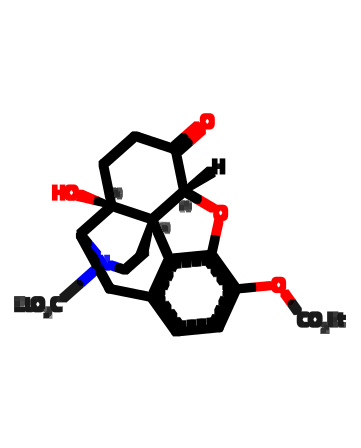 CCOC(=O)Oc1ccc2c3c1O[C@H]1C(=O)CC[C@@]4(O)C(C2)N(C(=O)OCC)CC[C@]314